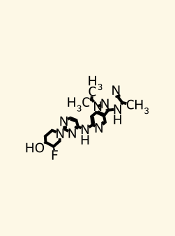 CC(C#N)Nc1nn(C(C)C)c2cc(Nc3ccnc(N4CC[C@H](O)[C@H](F)C4)n3)ncc12